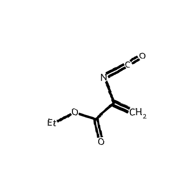 C=C(N=C=O)C(=O)OCC